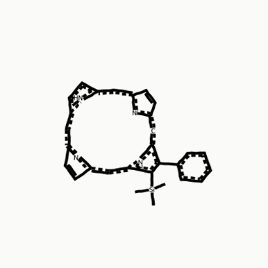 C[Si](C)(C)c1c(-c2ccccc2)c2cc3nc(cc4ccc(cc5nc(cc1[nH]2)C=C5)[nH]4)C=C3